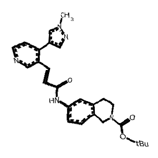 Cn1cc(-c2ccncc2/C=C/C(=O)Nc2ccc3c(c2)CCN(C(=O)OC(C)(C)C)C3)cn1